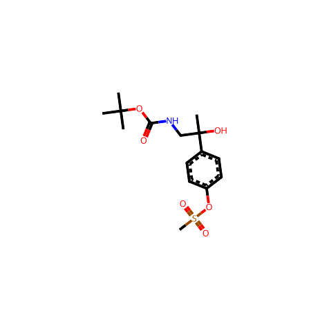 CC(C)(C)OC(=O)NCC(C)(O)c1ccc(OS(C)(=O)=O)cc1